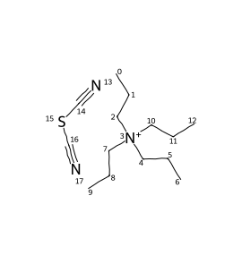 CCC[N+](CCC)(CCC)CCC.N#CSC#N